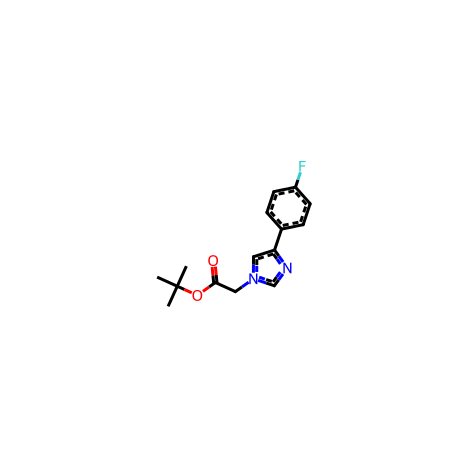 CC(C)(C)OC(=O)Cn1cnc(-c2ccc(F)cc2)c1